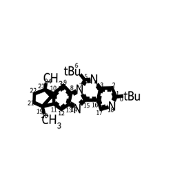 CC(C)(C)c1cc2nc(C(C)(C)C)n3c4cc5c(cc4nc3c2cn1)C1(C)CCC5(C)C1